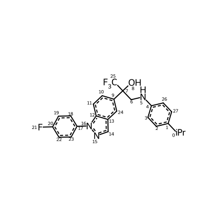 CC(C)c1ccc(NCC(O)(c2ccc3c(cnn3-c3ccc(F)cc3)c2)C(F)(F)F)cc1